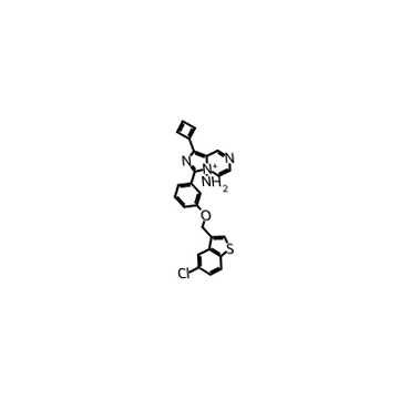 N[N+]12C=CN=CC1=C(C1=CC=C1)N=C2c1cccc(OCc2csc3ccc(Cl)cc23)c1